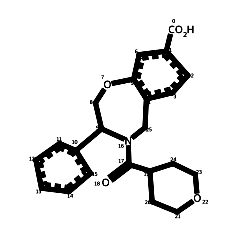 O=C(O)c1ccc2c(c1)OCC(c1ccccc1)N(C(=O)C1CCOCC1)C2